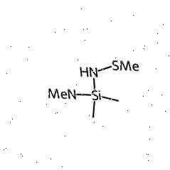 CN[Si](C)(C)NSC